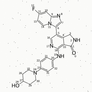 O=C1NCc2c(-c3cnc4cc(F)ccn34)cnc(Nc3ccc(N4CCC(O)CC4)cc3)c21